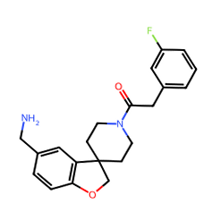 NCc1ccc2c(c1)C1(CCN(C(=O)Cc3cccc(F)c3)CC1)CO2